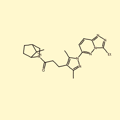 CCc1nnc2ccc(-n3nc(C)c(CCC(=O)N4CC5CCC4[C@@H]5C)c3C)nn12